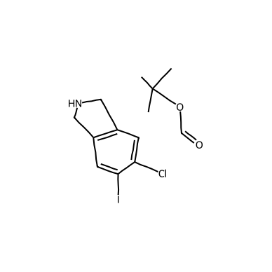 CC(C)(C)OC=O.Clc1cc2c(cc1I)CNC2